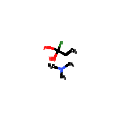 CCC(O)(O)Cl.CN(C)C